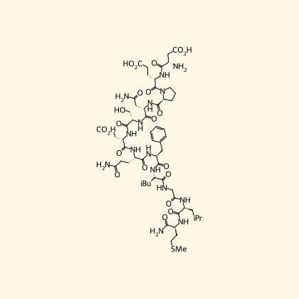 CC[C@H](C)[C@H](NC(=O)[C@H](Cc1ccccc1)NC(=O)[C@H](CCC(N)=O)NC(=O)[C@H](CC(=O)O)NC(=O)[C@H](CO)NC(=O)[C@H](CC(N)=O)NC(=O)[C@@H]1CCCN1C(=O)[C@H](CCC(=O)O)NC(=O)[C@@H](N)CC(=O)O)C(=O)NCC(=O)N[C@@H](CC(C)C)C(=O)N[C@@H](CCSC)C(N)=O